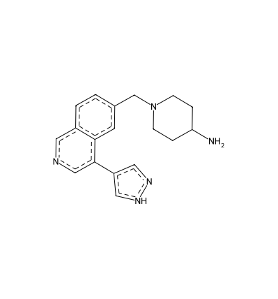 NC1CCN(Cc2ccc3cncc(-c4cn[nH]c4)c3c2)CC1